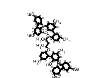 Cc1ccc(O[C@H](C)C[C@H](C)Oc2ccc(C)cc2-c2cc(C)cc(-n3c4ccc(C(C)(C)C)cc4c4cc(C(C)(C)C)ccc43)c2O)c(-c2cc(C)cc(-n3c4ccc(C(C)(C)C)cc4c4cc(C(C)(C)C)ccc43)c2O)c1